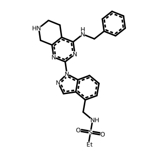 CCS(=O)(=O)NCc1cccc2c1cnn2-c1nc2c(c(NCc3ccccc3)n1)CCNC2